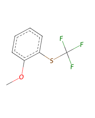 COc1ccccc1SC(F)(F)F